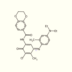 CCN(CC)c1ccc(/N=C2\C=C(NC(=O)c3ccc4c(c3)OCCO4)C(=O)C(Cl)=C2C)c(C)c1